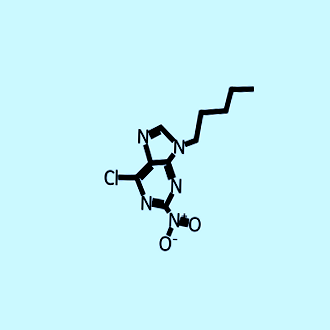 CCCCCn1cnc2c(Cl)nc([N+](=O)[O-])nc21